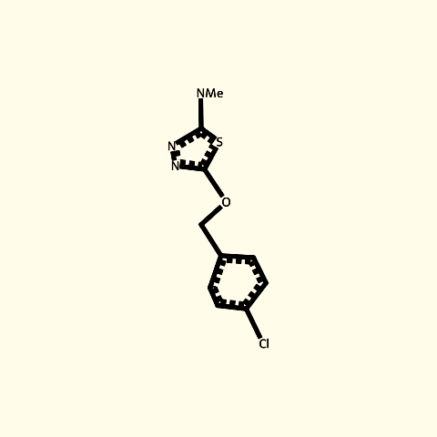 CNc1nnc(OCc2ccc(Cl)cc2)s1